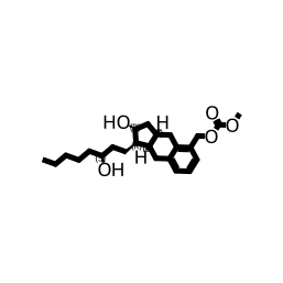 CCCCC[C@H](O)CC[C@@H]1[C@H]2Cc3cccc(COC(=O)OC)c3C[C@H]2C[C@H]1O